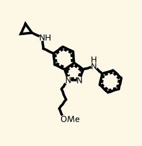 COCCCn1nc(Nc2ccccc2)c2ccc(CNC3CC3)cc21